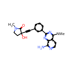 CNc1nc(-c2cccc(C#CC3(O)CCN(C)C3=O)c2)nc2c(N)nccc12